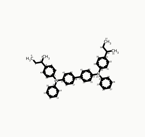 CCC(C)c1ccc(N(c2ccccc2)c2ccc(-c3ccc(N(c4ccccc4)c4ccc(C(C)CC)cc4)cc3)cc2)cc1